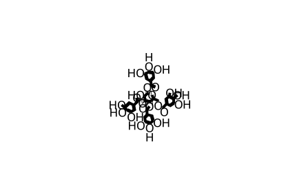 O=C(OCC1O[C@@H](OC(=O)c2cc(O)c(O)c(O)c2)C(O)[C@@H](OC(=O)c2cc(O)c(O)c(O)c2)[C@@H]1OC(=O)c1cc(O)c(O)c(O)c1)c1cc(O)c(O)c(O)c1